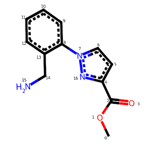 COC(=O)c1ccn(-c2ccccc2CN)n1